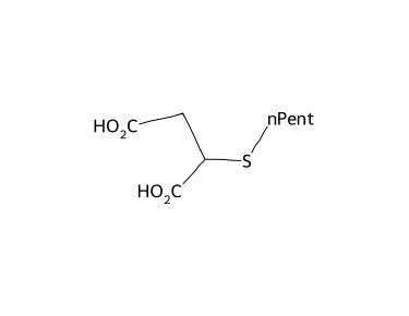 CCCCCSC(CC(=O)O)C(=O)O